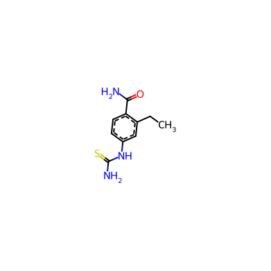 CCc1cc(NC(N)=S)ccc1C(N)=O